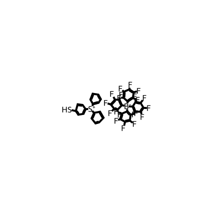 Fc1c(F)c(F)c([B-](c2c(F)c(F)c(F)c(F)c2F)(c2c(F)c(F)c(F)c(F)c2F)c2c(F)c(F)c(F)c(F)c2F)c(F)c1F.Sc1ccc([S+](c2ccccc2)c2ccccc2)cc1